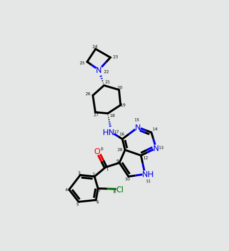 O=C(c1ccccc1Cl)c1c[nH]c2ncnc(N[C@H]3CC[C@@H](N4CCC4)CC3)c12